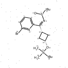 CC(C)(C)[S+]([O-])/N=C(\c1cccc(Br)n1)[C@H]1C[C@@H](O[Si](C)(C)C(C)(C)C)C1